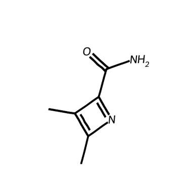 CC1=C(C)C(C(N)=O)=N1